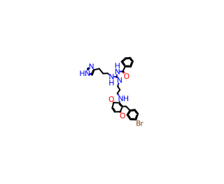 O=C1C=CC(=O)C(NCCC/N=C(\NCCCc2c[nH]cn2)NC(=O)c2ccccc2)=C1Cc1ccc(Br)cc1